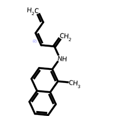 C=C/C=C\C(=C)Nc1ccc2ccccc2c1C